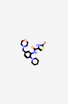 O=C(Nc1cc(CN2CCOCC2)ccc1N1CCCCC1)C1=CSC(Br)N1